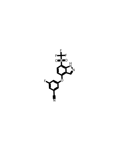 N#Cc1cc(F)cc(Oc2ccc(S(=O)(=O)C(F)(F)F)c3[nH]ncc23)c1